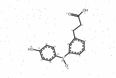 O=C(O)CCc1cccc([S+]([O-])c2ccc(O)cc2)c1